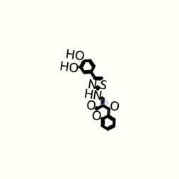 O=C1Oc2ccccc2C(=O)/C1=C/Nc1nc(-c2ccc(O)c(O)c2)cs1